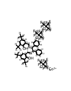 CC(C)(C)c1cc(C=N[C@H](c2ccccc2)[C@H](N=Cc2cc(C(C)(C)C)cc(C(C)(C)C)c2O)c2ccccc2)c(O)c(C(C)(C)C)c1.[Co+3].[O-]C(C(F)(F)F)(C(F)(F)F)C(F)(F)F.[O-]C(C(F)(F)F)(C(F)(F)F)C(F)(F)F.[O-]C(C(F)(F)F)(C(F)(F)F)C(F)(F)F